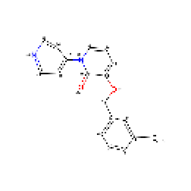 Cc1cccc(COc2cccn(-c3ccncc3)c2=O)c1